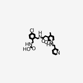 Cc1ccn(NCc2cccnc2)c(=O)c1CC(=O)NCc1cc(Cl)ccc1CNC(=O)O